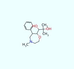 CN1CCOC(C(O)C(C)(C)O)C(c2ccccc2)C1